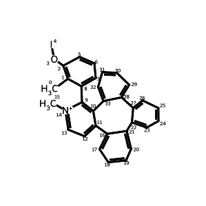 Cc1c(OI)cccc1-c1c2c(cc[n+]1C)-c1ccccc1-c1ccccc1-c1ccccc1-2